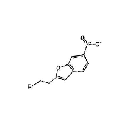 O=[N+]([O-])c1ccc2cc(CCBr)oc2c1